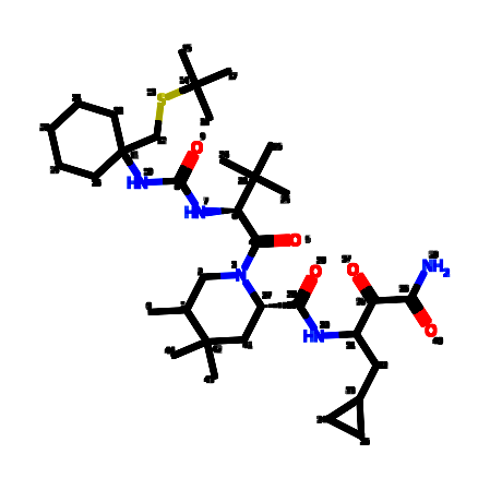 CC1CN(C(=O)[C@@H](NC(=O)NC2(CSC(C)(C)C)CCCCC2)C(C)(C)C)[C@H](C(=O)NC(CC2CC2)C(=O)C(N)=O)CC1(C)C